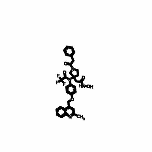 Cc1cc(COc2ccc(N(C(=O)C(F)(F)F)C3(CC(=O)NO)CCN(C(=O)Cc4ccccc4)C3)cc2)c2ccccc2n1